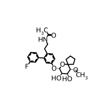 CO[C@@H]1[C@@H](O)[C@@H](O)[C@H](Oc2ccc(CCNC(C)=O)c(-c3cccc(F)c3)c2)OC12CCCC2